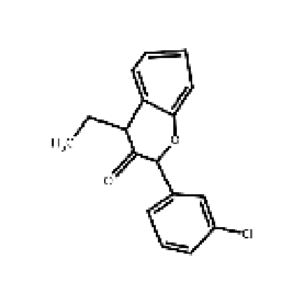 CCC1C(=O)C(c2cccc(Cl)c2)Oc2ccccc21